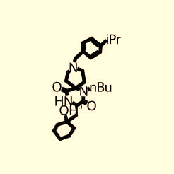 CCCCN1C(=O)[C@@H](CC2(O)CCCCC2)NC(=O)C12CCN(Cc1ccc(C(C)C)cc1)CC2